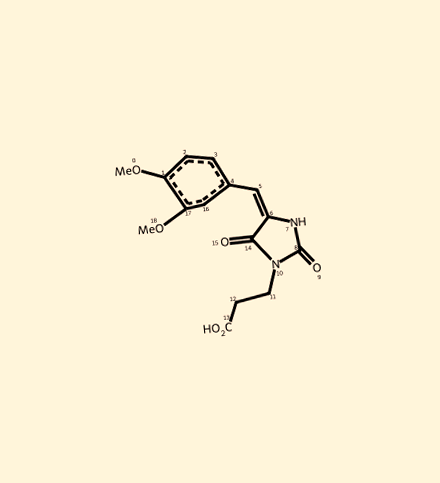 COc1ccc(C=C2NC(=O)N(CCC(=O)O)C2=O)cc1OC